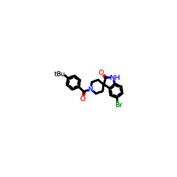 CC(C)(C)c1ccc(C(=O)N2CCC3(CC2)C(=O)Nc2ccc(Br)cc23)cc1